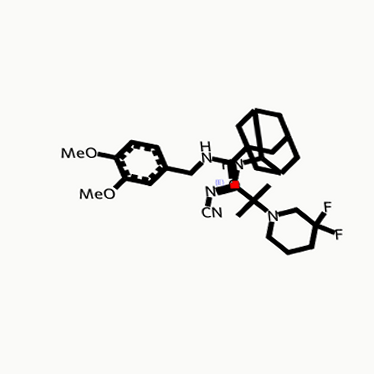 COc1ccc(CNC(=O)C23CC4CC(C2)C(N/C(=N/C#N)C(C)(C)N2CCCC(F)(F)C2)C(C4)C3)cc1OC